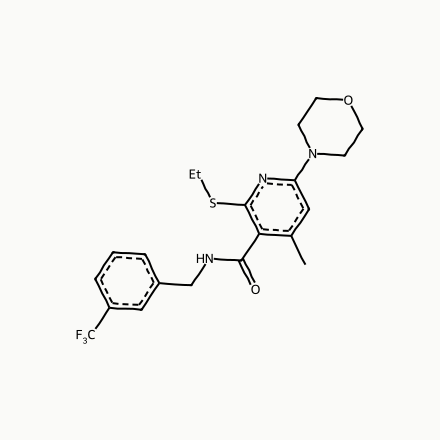 CCSc1nc(N2CCOCC2)cc(C)c1C(=O)NCc1cccc(C(F)(F)F)c1